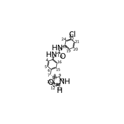 O=C(Nc1ccc(C[C@@]23CN[C@@H](CO2)C3)cc1)Nc1cccc(Cl)c1